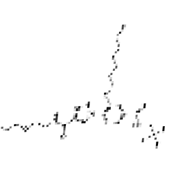 O=C(NCC(F)(F)F)c1ccc(-n2cc(C(=O)NCCOCCO)nn2)c(OCCCCCCF)c1